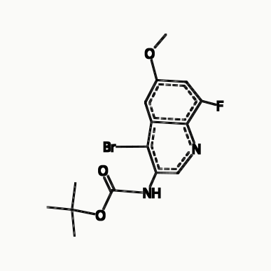 COc1cc(F)c2ncc(NC(=O)OC(C)(C)C)c(Br)c2c1